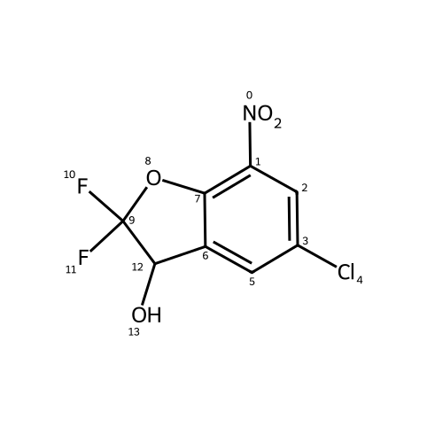 O=[N+]([O-])c1cc(Cl)cc2c1OC(F)(F)C2O